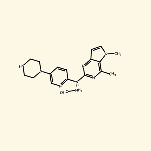 Cc1nc(Nc2ccc(N3CCNCC3)cn2)nc2ccn(C)c12.NC=O